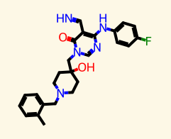 Cc1ccccc1CN1CCC(O)(Cn2cnc(Nc3ccc(F)cc3)c(C=N)c2=O)CC1